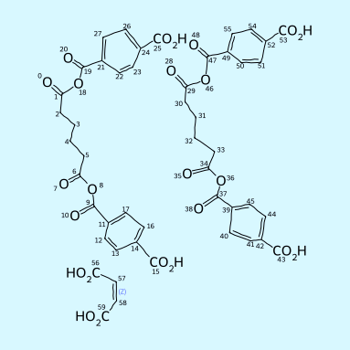 O=C(CCCCC(=O)OC(=O)c1ccc(C(=O)O)cc1)OC(=O)c1ccc(C(=O)O)cc1.O=C(CCCCC(=O)OC(=O)c1ccc(C(=O)O)cc1)OC(=O)c1ccc(C(=O)O)cc1.O=C(O)/C=C\C(=O)O